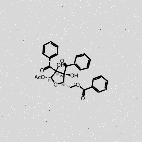 CC(=O)O[C@H]1O[C@@H](COC(=O)c2ccccc2)[C@@](O)(C(=O)c2ccccc2)[C@@]1(O)C(=O)c1ccccc1